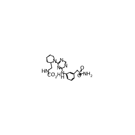 NS(=O)(=O)Cc1cccc(Nc2ncnc(N3CCCCC3CNC(=O)O)n2)c1